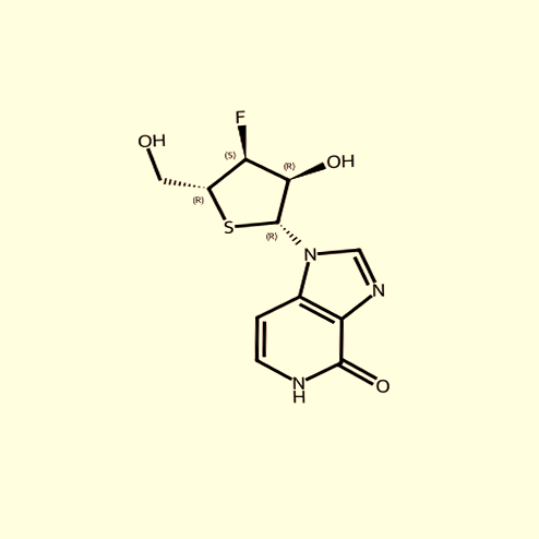 O=c1[nH]ccc2c1ncn2[C@@H]1S[C@H](CO)[C@@H](F)[C@H]1O